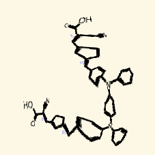 N#C/C(=C\C1=CC(=C/c2ccc(N(c3ccccc3)c3ccc(N(c4ccccc4)c4ccc(/C=C5C=C(/C=C(\C#N)C(=O)O)CC/5)cc4)cc3)cc2)/CC1)C(=O)O